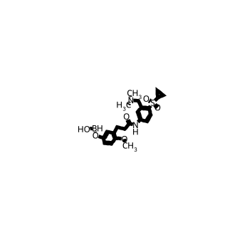 COc1ccc(OBO)cc1CCC(=O)Nc1ccc(S(=O)(=O)C2CC2)c(CN(C)C)c1